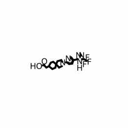 O=C(O)CC1CCC2(CC1)CCN(c1ccc(-c3nnc(C(F)(F)F)[nH]3)cn1)CC2